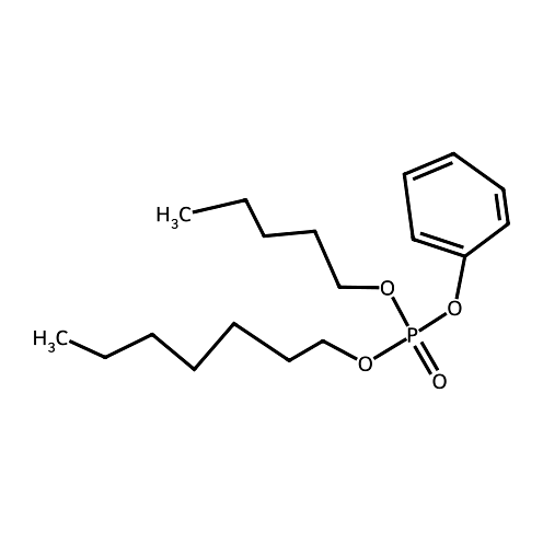 CCCCCCCOP(=O)(OCCCCC)Oc1ccccc1